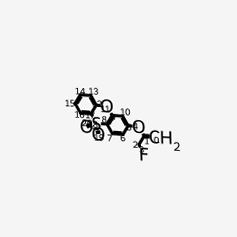 C=C(CF)Oc1ccc2c(c1)Oc1ccccc1S2(=O)=O